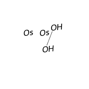 OO.[Os].[Os]